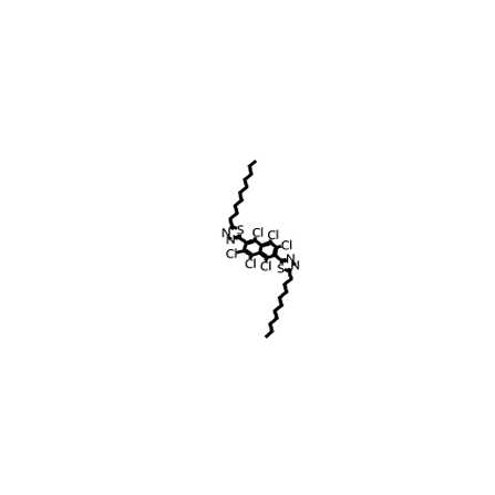 CCCCCCCCCCc1nnc(-c2c(Cl)c(Cl)c3c(Cl)c(-c4nnc(CCCCCCCCCC)s4)c(Cl)c(Cl)c3c2Cl)s1